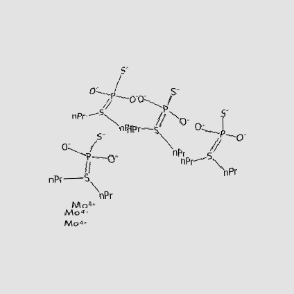 CCCS(CCC)=P([O-])([O-])[S-].CCCS(CCC)=P([O-])([O-])[S-].CCCS(CCC)=P([O-])([O-])[S-].CCCS(CCC)=P([O-])([O-])[S-].[Mo+4].[Mo+4].[Mo+4]